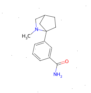 CN1CC2CCC1(c1cccc(C(N)=O)c1)C2